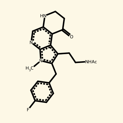 CC(=O)NCCc1c(Cc2ccc(F)cc2)n(C)c2ncc3c(c12)C(=O)CCN3